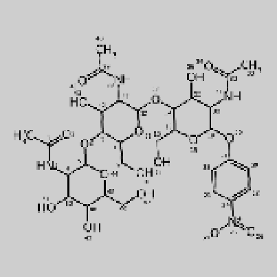 CC(=O)NC1C(OC2C(CO)OC(OC3C(CO)OC(Oc4ccc([N+](=O)[O-])cc4)C(NC(C)=O)C3O)C(NC(C)=O)C2O)OC(CO)C(O)C1O